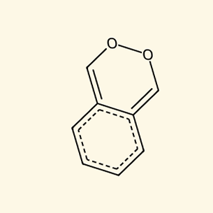 C1=c2ccccc2=COO1